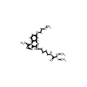 CC[C@@H](OC)C(=O)NCCCCNc1nc2cc(OCCOC)ccc2n2c(C)nnc12